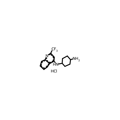 Cl.NC1CCC(Nc2cc(C(F)(F)F)nc3ccccc23)CC1